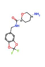 N[C@@H]1CC[C@H](C(=O)NCc2ccc3c(c2)OC(F)(F)O3)OC1